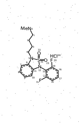 CNCCCCN1c2ccccc2N(c2c(F)cccc2F)S1(=O)=O.Cl